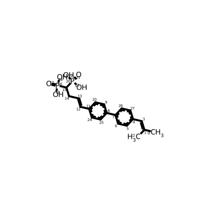 CC(C)=Cc1ccc(-c2ccc(C=CCC(P(=O)(O)O)P(=O)(O)O)cc2)cc1